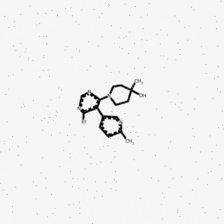 CCc1ncnc(N2CCC(C)(O)CC2)c1-c1ccc(C)nc1